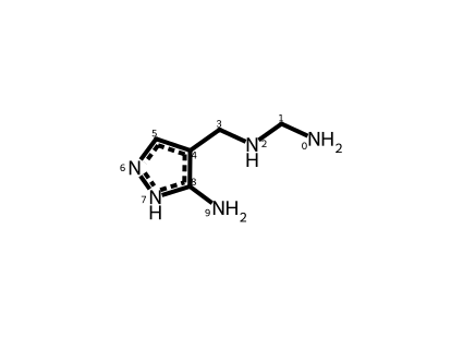 NCNCc1cn[nH]c1N